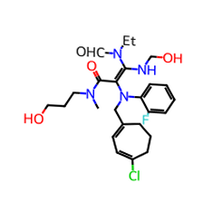 CCN(C=O)/C(NCO)=C(\C(=O)N(C)CCCO)N(CC1=CC=C(Cl)CCC1)c1ccccc1F